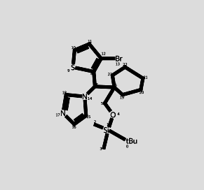 CC(C)(C)[Si](C)(C)OCC1(C(c2sccc2Br)n2ccnc2)CCCCC1